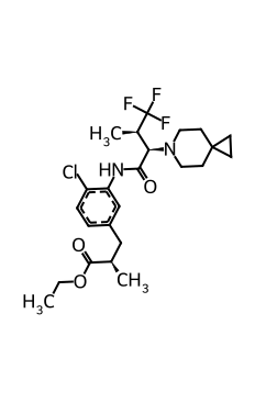 CCOC(=O)[C@H](C)Cc1ccc(Cl)c(NC(=O)[C@@H]([C@@H](C)C(F)(F)F)N2CCC3(CC2)CC3)c1